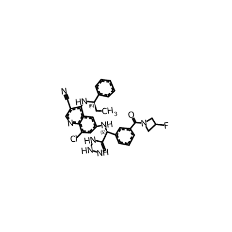 CC[C@@H](Nc1c(C#N)cnc2c(Cl)cc(N[C@H](C3=CNNN3)c3cccc(C(=O)N4CC(F)C4)c3)cc12)c1ccccc1